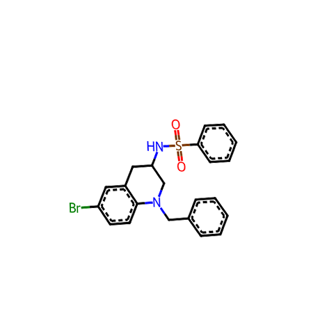 O=S(=O)(NC1Cc2cc(Br)ccc2N(Cc2ccccc2)C1)c1ccccc1